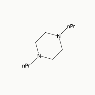 CCCN1CCN(CCC)CC1